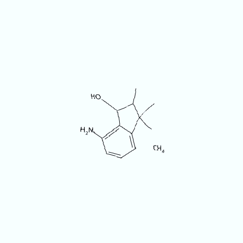 C.CC1C(O)c2c(N)cccc2C1(C)C